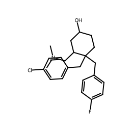 CN(C)CC1CC(O)CCC1(Cc1ccc(F)cc1)Cc1ccc(Cl)cc1